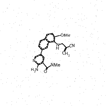 C=C(C#N)CNc1c(OC)ccc2ccc(-c3cnc(N)c(C(=O)NC)c3)cc12